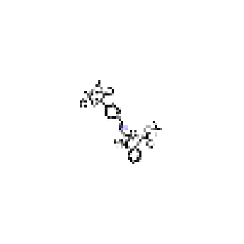 COC(=O)C(OS(C)(=O)=O)c1ccc(/C=C/C(=O)Nc2ccccc2NC(=O)OC(C)(C)C)cc1